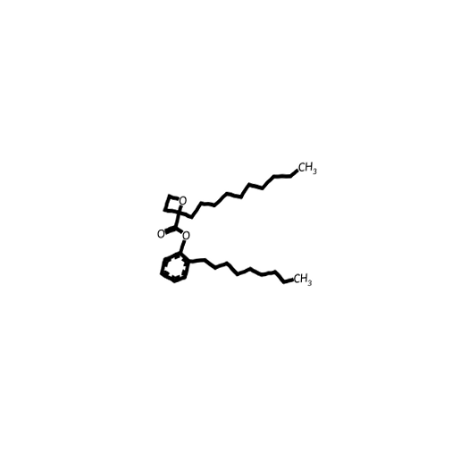 CCCCCCCCCCC1(C(=O)Oc2ccccc2CCCCCCCCC)CCO1